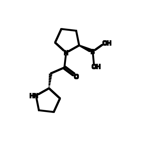 O=C(C[C@@H]1CCCN1)N1CCC[C@H]1B(O)O